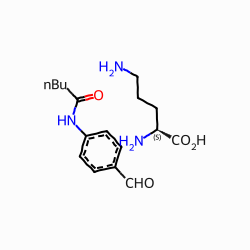 CCCCC(=O)Nc1ccc(C=O)cc1.NCCC[C@H](N)C(=O)O